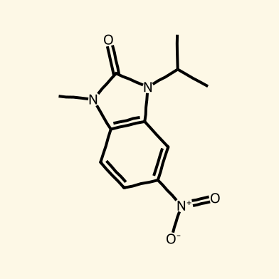 CC(C)n1c(=O)n(C)c2ccc([N+](=O)[O-])cc21